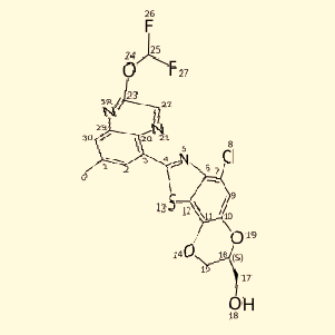 Cc1cc(-c2nc3c(Cl)cc4c(c3s2)OC[C@H](CO)O4)c2ncc(OC(F)F)nc2c1